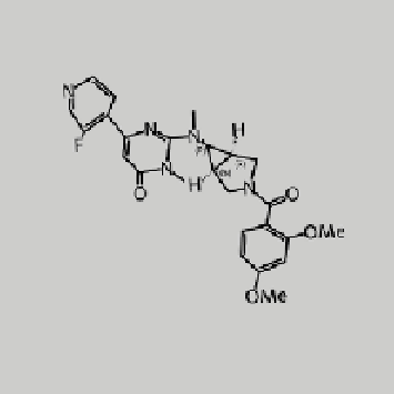 COc1ccc(C(=O)N2C[C@@H]3[C@H](C2)[C@@H]3N(C)c2nc(-c3ccncc3F)cc(=O)n2C)c(OC)c1